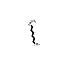 CCCCCCCCCCO[SiH3]